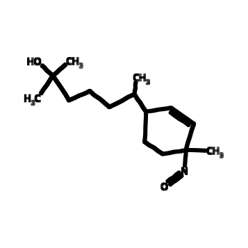 CC(CCCC(C)(C)O)C1C=CC(C)(N=O)CC1